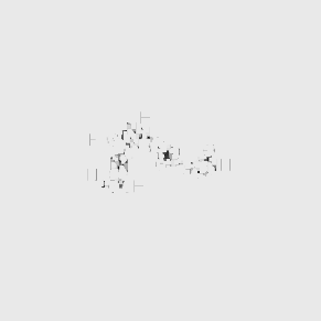 CC(C)(O)Cn1cc(-c2nc(NC3CCN(S(=O)(=O)CCCN4CCNC(=O)C4)CC3)ncc2C(F)(F)F)cn1